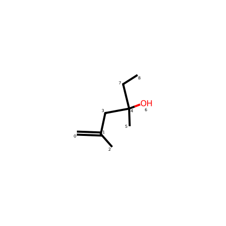 C=C(C)CC(C)(O)CC